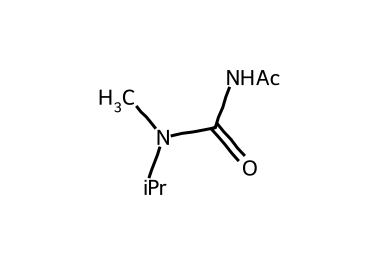 CC(=O)NC(=O)N(C)C(C)C